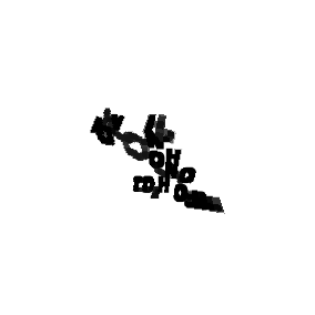 Cc1noc(-c2ccc(OC[C@H](NC3OC3OC(C)(C)C)C(=O)O)c(N)c2)n1